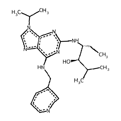 CC[C@@H](Nc1nc(NCc2cccnc2)c2ncn(C(C)C)c2n1)[C@H](O)C(C)C